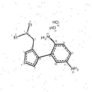 CCN(CC)Cc1cscc1-c1cc(N)ccc1N.Cl.Cl